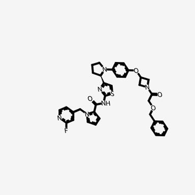 O=C(Nc1nc([C@H]2CCCN2c2ccc(OC3CN(C(=O)COCc4ccccc4)C3)cc2)cs1)c1cccn1Cc1ccnc(F)c1